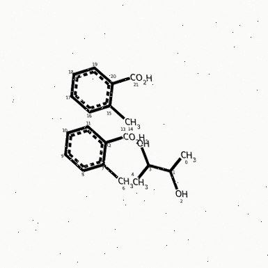 CC(O)C(C)O.Cc1ccccc1C(=O)O.Cc1ccccc1C(=O)O